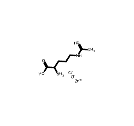 N=C(N)NCCCC(N)C(=O)O.[Cl-].[Cl-].[Zn+2]